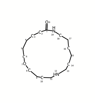 O=C1CCCCCOCCCCNCCCCCCN1